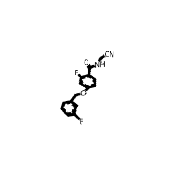 N#CCNC(=O)c1ccc(OCc2cccc(F)c2)cc1F